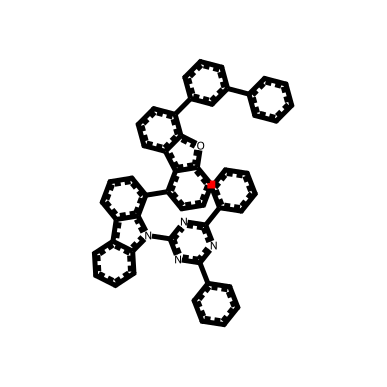 c1ccc(-c2cccc(-c3cccc4c3oc3cccc(-c5cccc6c7ccccc7n(-c7nc(-c8ccccc8)nc(-c8ccccc8)n7)c56)c34)c2)cc1